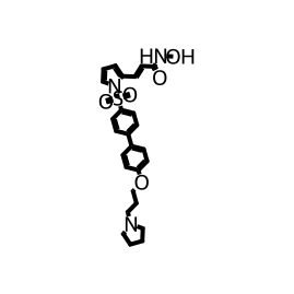 O=C(/C=C/c1cccn1S(=O)(=O)c1ccc(-c2ccc(OCCCN3CCCC3)cc2)cc1)NO